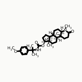 COc1ccc(C(C)(C)NC(=O)O[C@H]2CC[C@H]3[C@@H]4CC[C@H]5N(C)C(=O)CC[C@]5(C)[C@H]4CC[C@]23C)cc1